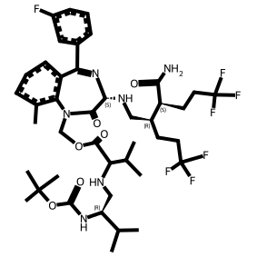 Cc1cccc2c1N(COC(=O)C(NC[C@H](NC(=O)OC(C)(C)C)C(C)C)C(C)C)C(=O)[C@@H](NC[C@H](CCC(F)(F)F)[C@H](CCC(F)(F)F)C(N)=O)N=C2c1cccc(F)c1